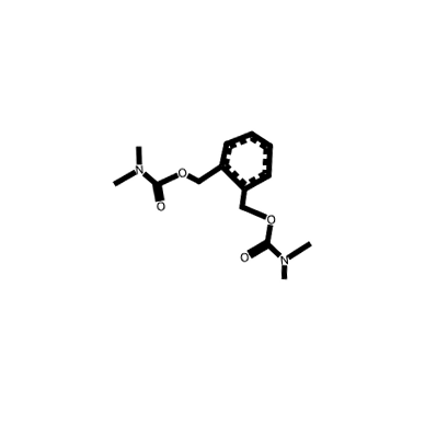 CN(C)C(=O)OCc1ccccc1COC(=O)N(C)C